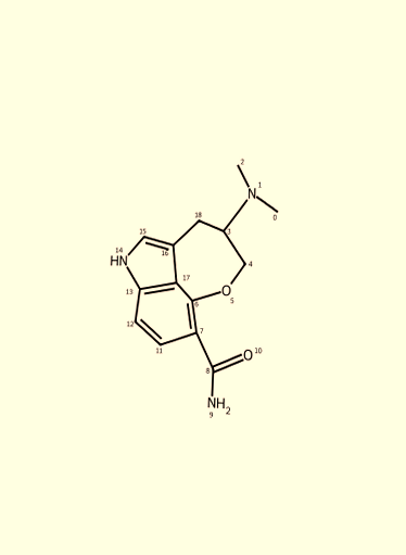 CN(C)C1COc2c(C(N)=O)ccc3[nH]cc(c23)C1